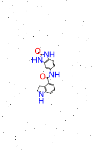 O=C(Nc1ccc2[nH]c(=O)[nH]c2c1)c1cccc2c1CCN2